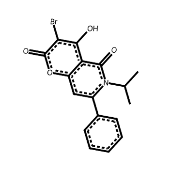 CC(C)n1c(-c2ccccc2)cc2oc(=O)c(Br)c(O)c2c1=O